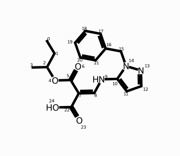 CCC(C)OC(=O)C(=CNc1ccnn1Cc1ccccc1)C(=O)O